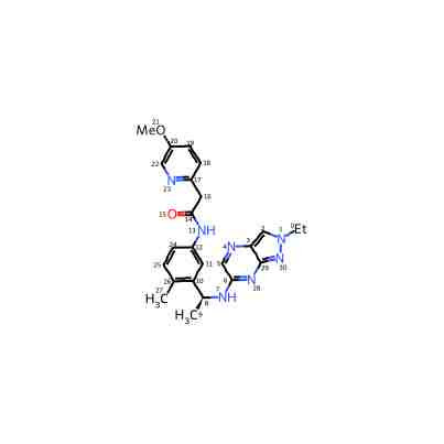 CCn1cc2ncc(N[C@@H](C)c3cc(NC(=O)Cc4ccc(OC)cn4)ccc3C)nc2n1